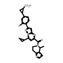 CC1c2ccsc2CCN1C(=O)c1cc(C2CC2)n2nc(-c3ccc(C4CC4C(=O)O)cc3F)cc2n1